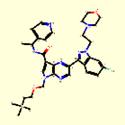 CC(NC(=O)c1cn(COCC[Si](C)(C)C)c2ncc(-c3nn(CCN4CCOCC4)c4cc(F)ccc34)nc12)c1ccncc1